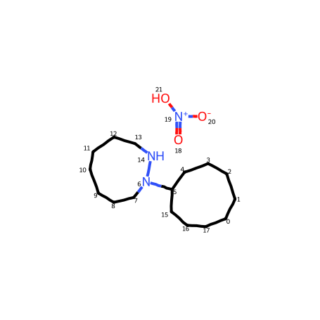 C1CCCCC(N2CCCCCCCN2)CCC1.O=[N+]([O-])O